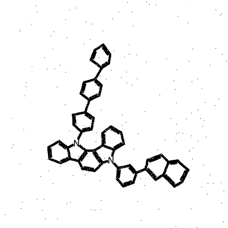 c1ccc(-c2ccc(-c3ccc(-n4c5ccccc5c5ccc6c(c7ccccc7n6-c6cccc(-c7ccc8ccccc8c7)c6)c54)cc3)cc2)cc1